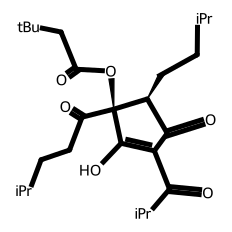 CC(C)CCC(=O)[C@@]1(OC(=O)CC(C)(C)C)C(O)=C(C(=O)C(C)C)C(=O)[C@@H]1CCC(C)C